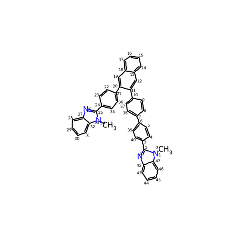 Cn1c(-c2ccc(-c3ccc(-c4cc5ccccc5cc4-c4ccc(-c5nc6ccccc6n5C)cc4)cc3)cc2)nc2ccccc21